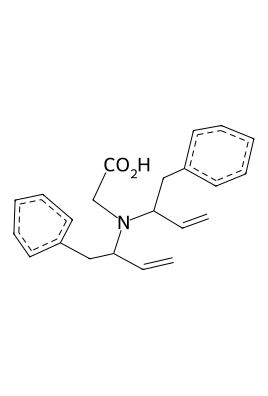 C=CC(Cc1ccccc1)N(CC(=O)O)C(C=C)Cc1ccccc1